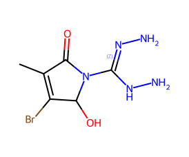 CC1=C(Br)C(O)N(/C(=N/N)NN)C1=O